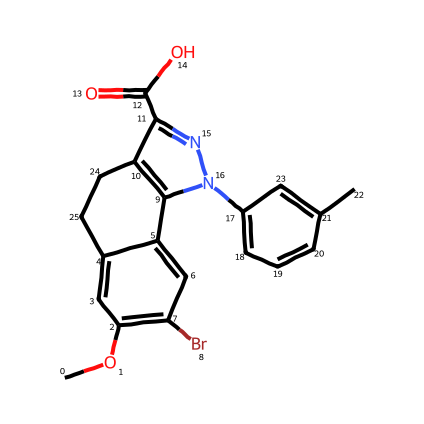 COc1cc2c(cc1Br)-c1c(c(C(=O)O)nn1-c1cccc(C)c1)CC2